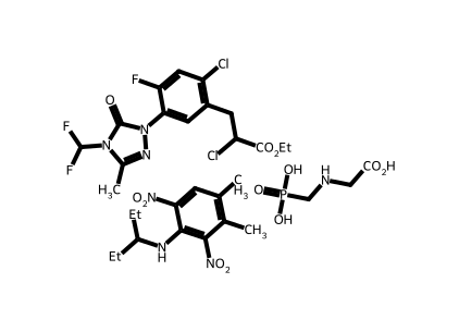 CCC(CC)Nc1c([N+](=O)[O-])cc(C)c(C)c1[N+](=O)[O-].CCOC(=O)C(Cl)Cc1cc(-n2nc(C)n(C(F)F)c2=O)c(F)cc1Cl.O=C(O)CNCP(=O)(O)O